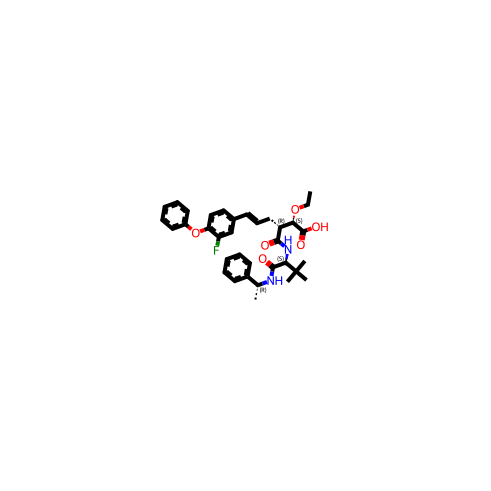 CCO[C@H](C(=O)O)[C@@H](CC=Cc1ccc(Oc2ccccc2)c(F)c1)C(=O)N[C@H](C(=O)N[C@H](C)c1ccccc1)C(C)(C)C